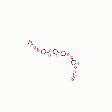 Cc1cc(-c2ccc(OCOc3ccc(OCOCC4(C)COC4)c(F)c3)cc2)c(C)cc1OC(=O)c1ccc(OCOCC2(C)COC2)cc1